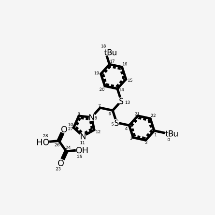 CC(C)(C)c1ccc(SC(Cn2ccnc2)Sc2ccc(C(C)(C)C)cc2)cc1.O=C(O)C(=O)O